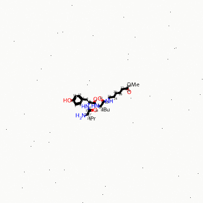 CCC(C)[C@H](NC(=O)[C@H](Cc1ccc(O)cc1)NC(=O)[C@@H](N)C(C)C)C(=O)NCCCCCC(=O)OC